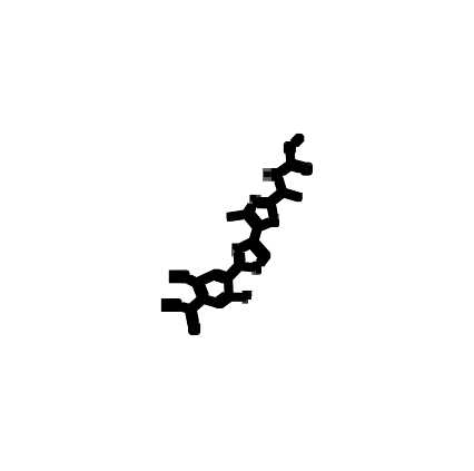 COC(=O)NC(C)c1nc(C)c(-c2csc(-c3cc(O)c(C(=O)O)cc3F)n2)s1